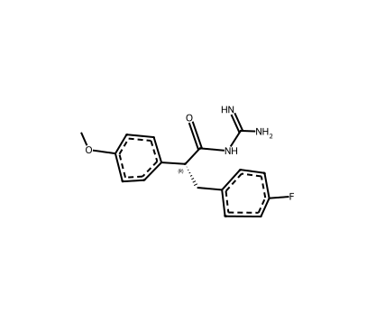 COc1ccc([C@@H](Cc2ccc(F)cc2)C(=O)NC(=N)N)cc1